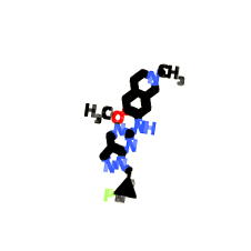 COc1cc2c(cc1Nc1ncc3cnn(C[C@@H]4C[C@@H]4F)c3n1)CN(C)CC2